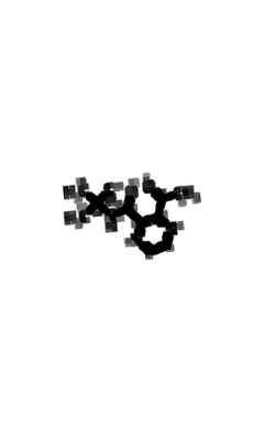 CC(=O)c1nccnc1C(=O)NC(C)(C)C